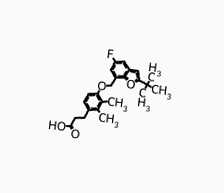 Cc1c(CCC(=O)O)ccc(OCc2cc(F)cc3cc(C(C)(C)C)oc23)c1C